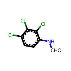 O=[C]Nc1ccc(Cl)c(Cl)c1Cl